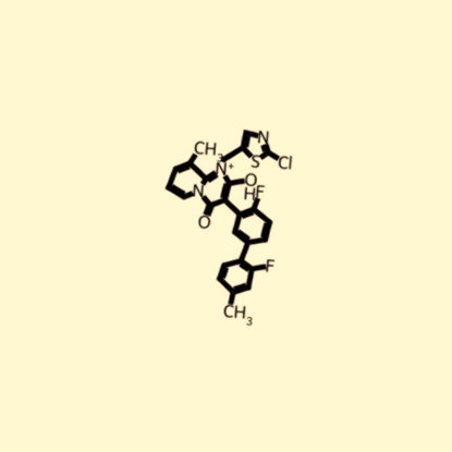 Cc1ccc(-c2ccc(F)c(-c3c(O)[n+](Cc4cnc(Cl)s4)c4c(C)cccn4c3=O)c2)c(F)c1